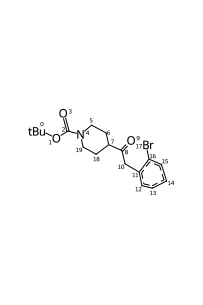 CC(C)(C)OC(=O)N1CCC(C(=O)Cc2ccccc2Br)CC1